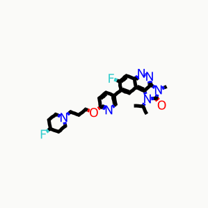 CC(C)n1c(=O)n(C)c2nnc3cc(F)c(-c4ccc(OCCCN5CCC(F)CC5)nc4)cc3c21